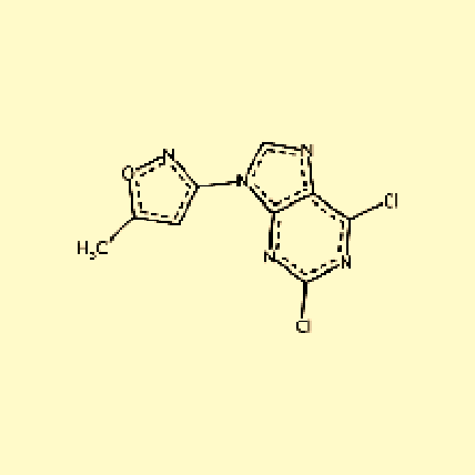 Cc1cc(-n2cnc3c(Cl)nc(Cl)nc32)no1